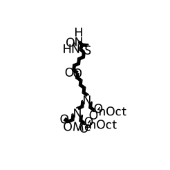 CCCCCCCCOC(=O)CCN(CCCCCCOC(=O)CCCCC1SCC2NC(=O)NC21)CCCN(CCC(=O)OC)CCC(=O)OCCCCCCCC